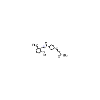 CCOc1cccc(OCC)c1/C=C/C(=O)c1ccc(OCOC(=O)C(C)(C)C)cc1